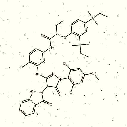 CCC(Oc1ccc(C(C)(C)CC)cc1C(C)(C)CC)C(=O)Nc1ccc(Cl)c(NC2=NN(c3c(Cl)cc(OC)cc3Cl)C(=O)C2n2[nH]c3ccccc3c2=O)c1